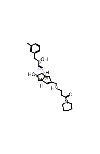 Cc1cccc(C[C@H](O)/C=C/[C@@H]2[C@H]3CC(CNCCC(=O)N4CCCCC4)=C[C@H]3C[C@H]2O)c1